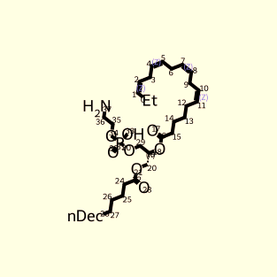 CC/C=C\C/C=C\C/C=C\C/C=C\CCCCC(=O)O[C@H](COC(=O)CCCCCCCCCCCCCC)COP(=O)(O)OCCN